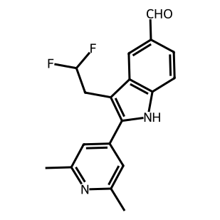 Cc1cc(-c2[nH]c3ccc(C=O)cc3c2CC(F)F)cc(C)n1